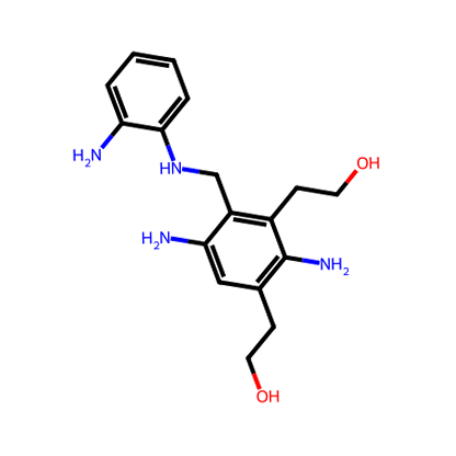 Nc1ccccc1NCc1c(N)cc(CCO)c(N)c1CCO